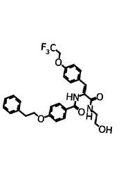 O=C(NCCO)C(=Cc1ccc(OCC(F)(F)F)cc1)NC(=O)c1ccc(OCCc2ccccc2)cc1